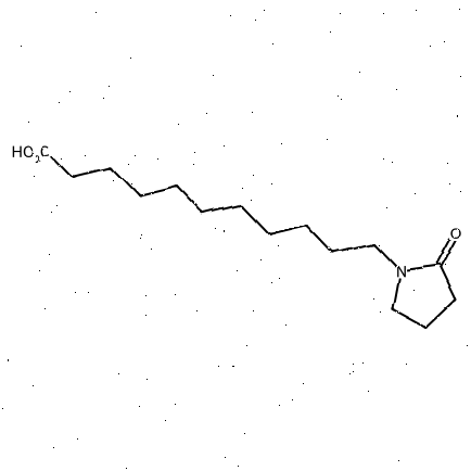 O=C(O)CCCCCCCCCCN1CCCC1=O